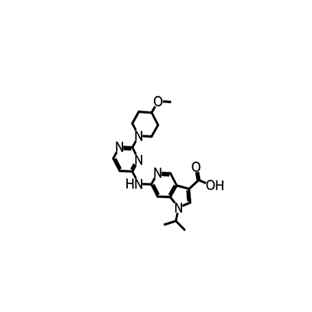 COC1CCN(c2nccc(Nc3cc4c(cn3)c(C(=O)O)cn4C(C)C)n2)CC1